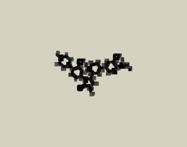 CN1CCN(c2ccc(-n3c(-c4cc(-c5cnc(N)c(C(F)(F)F)c5)ccn4)cn(C)c3=O)cc2C(F)(F)F)CC1